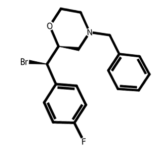 Fc1ccc([C@@H](Br)[C@@H]2CN(Cc3ccccc3)CCO2)cc1